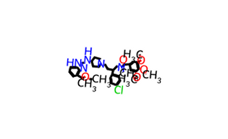 CCOC(C)c1cccc2[nH]c(NC3CCN(CCC(CN(C)C(=O)c4cc(OC)c(OC)c(OC)c4)c4ccc(Cl)cc4)CC3)nc12